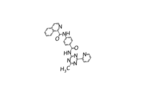 Cc1nc(NC(=O)c2ccc(NC(=O)c3nccc4ccccc34)cc2)nc(-c2ccccn2)n1